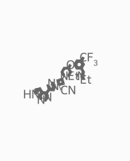 CCN(CC)Cc1cc(OC2CCN([C@H]3C[C@@](CC#N)(n4cc(-c5ncnc6[nH]ccc56)cn4)C3)CC2)cc(C(F)(F)F)c1